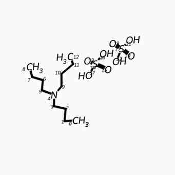 CCCCN(CCCC)CCCC.O=S(=O)(O)O.O=S(=O)(O)O